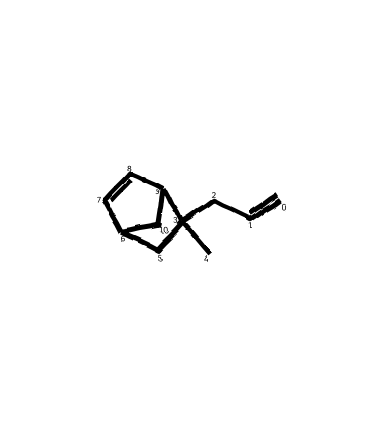 C=CCC1(C)CC2C=CC1C2